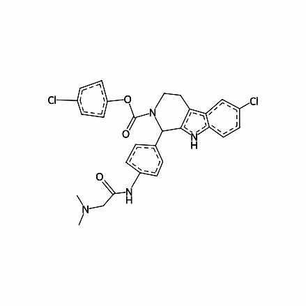 CN(C)CC(=O)Nc1ccc(C2c3[nH]c4ccc(Cl)cc4c3CCN2C(=O)Oc2ccc(Cl)cc2)cc1